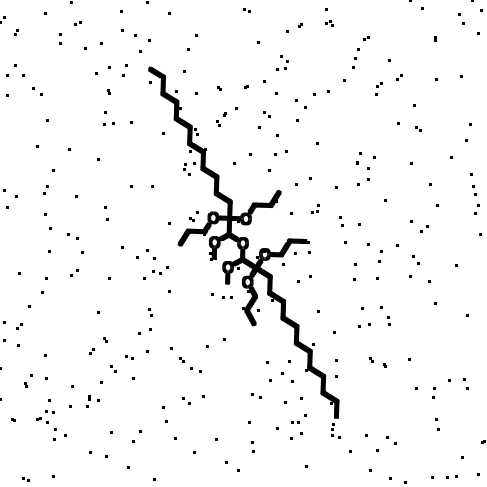 CCCCCCCCCCCCC(OCCC)(OCCC)C(OC)OC(OC)C(CCCCCCCCCCCC)(OCCC)OCCC